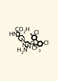 Cc1ccc(-c2cc(Cl)ccc2[C@@H](Oc2cc(N3CCC4(CC3)CN[C@H](C(=O)O)C4)nc(N)n2)C(F)(F)F)cc1Cl